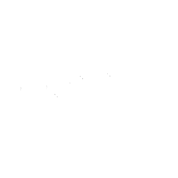 COc1cc(N2CCN(C(=O)Cn3nc4ncccc4c3Cl)CC2)ccc1Cl